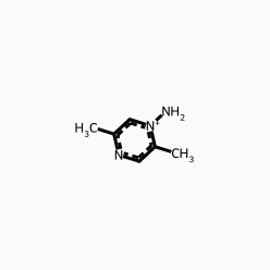 Cc1c[n+](N)c(C)cn1